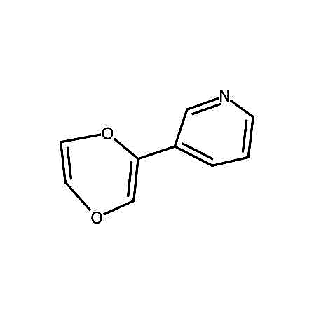 C1=COC(c2cccnc2)=CO1